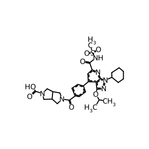 CC(C)Oc1nn(C2CCCCC2)c2nc(C(=O)NS(C)(=O)=O)cc(-c3ccc(C(=O)N4CC5CN(C(=O)O)CC5C4)cc3)c12